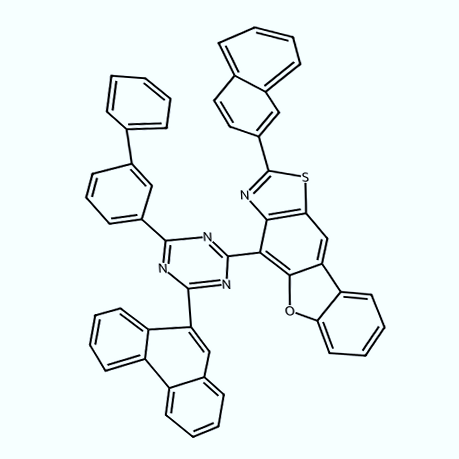 c1ccc(-c2cccc(-c3nc(-c4cc5ccccc5c5ccccc45)nc(-c4c5nc(-c6ccc7ccccc7c6)sc5cc5c4oc4ccccc45)n3)c2)cc1